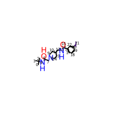 CC(C)(C)NC(O)CN1CCC(CNC(=O)c2cccc(I)c2)CC1